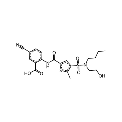 CCCCN(CCO)S(=O)(=O)c1cc(C(=O)Nc2ccc(C#N)cc2C(=O)O)sc1C